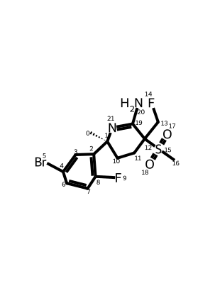 C[C@@]1(c2cc(Br)ccc2F)CCC(CF)(S(C)(=O)=O)C(N)=N1